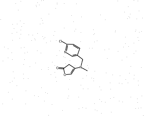 CN(Cc1ccc(Cl)nc1)C1=COC(=O)C1